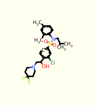 Cc1ccc(N(CC(C)C)S(=O)(=O)c2ccc(C(O)CN3CCC(F)(F)CC3)c(Cl)c2)c(C)c1